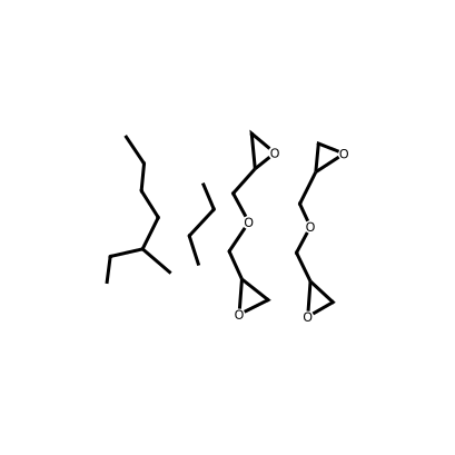 C(OCC1CO1)C1CO1.C(OCC1CO1)C1CO1.CCCC.CCCCC(C)CC